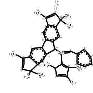 CC1=CC(C)[C](/[Zr+2](=[CH]\c2ccccc2)[CH]2c3cc4c(cc3-c3cc5c(cc32)C(C)(C)C=C5C)C(C)=CC4(C)C)=C1C.[Cl-].[Cl-]